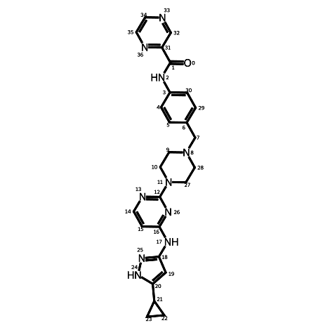 O=C(Nc1ccc(CN2CCN(c3nccc(Nc4cc(C5CC5)[nH]n4)n3)CC2)cc1)c1cnccn1